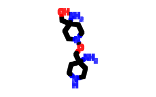 NC1(CO)CCN(OCC2(N)CCNCC2)CC1